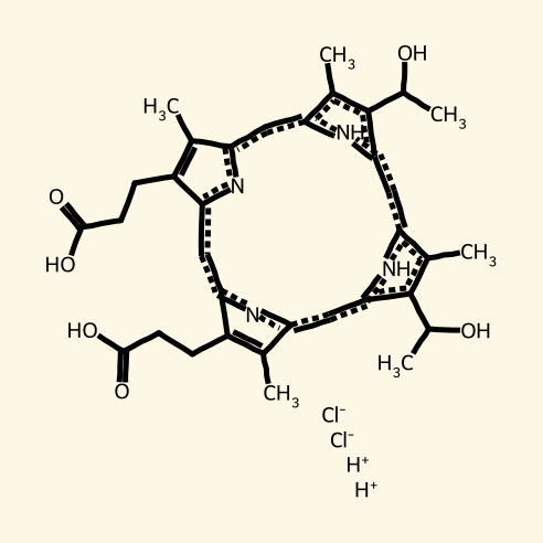 CC1=C(CCC(=O)O)c2cc3nc(cc4[nH]c(cc5[nH]c(cc1n2)c(C)c5C(C)O)c(C)c4C(C)O)C(C)=C3CCC(=O)O.[Cl-].[Cl-].[H+].[H+]